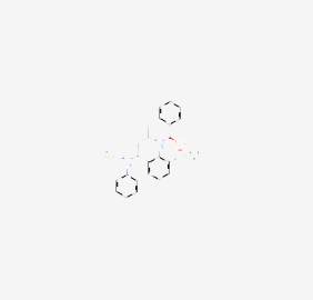 COc1cccc2c1N(C(=O)c1ccccc1)C(C)CC2N(C(C)=O)c1ccccc1